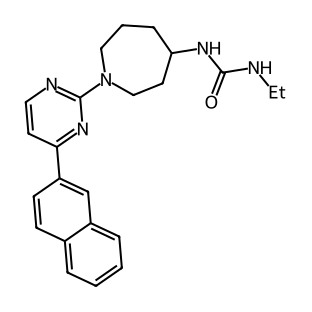 CCNC(=O)NC1CCCN(c2nccc(-c3ccc4ccccc4c3)n2)CC1